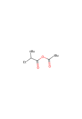 CCCCC(CC)C(=O)OC(=O)C(C)(C)C